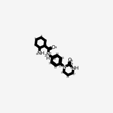 NC1CCCCC1C(=O)Nc1ccc(N2CCCNC2=O)cc1